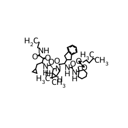 C=CCNC(=O)C(=O)C(CC1CC1)NC(=O)[C@@H]1[C@@H]2[C@H](CN1C(=O)[C@@H](NC(=O)NC1(CS(=O)(=O)CCC(C)C)CCCCC1)C1Cc3ccccc3C1)C2(C)C